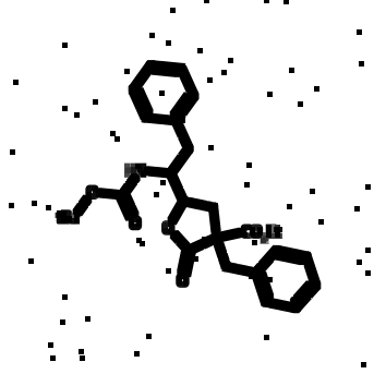 CCOC(=O)C1(Cc2ccccc2)CC(C(Cc2ccccc2)NC(=O)OC(C)(C)C)OC1=O